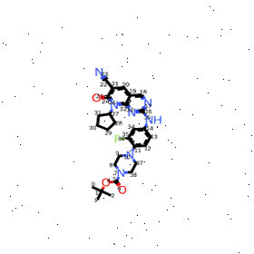 CC(C)(C)OC(=O)N1CCN(c2ccc(Nc3ncc4cc(C#N)c(=O)n(C5CCCC5)c4n3)cc2F)CC1